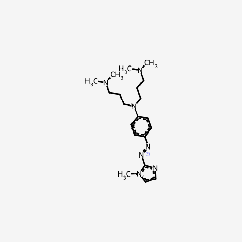 CN(C)CCCN(CCCN(C)C)c1ccc(/N=N/c2nccn2C)cc1